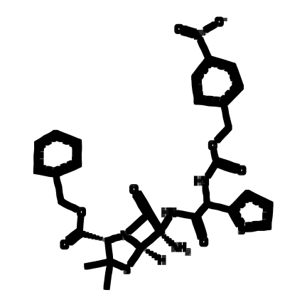 CC1(C)S[C@H]2N(C(=O)[C@@]2(N)NC(=O)C(NC(=O)OCc2ccc([N+](=O)[O-])cc2)c2cccs2)[C@H]1C(=O)OCc1ccccc1